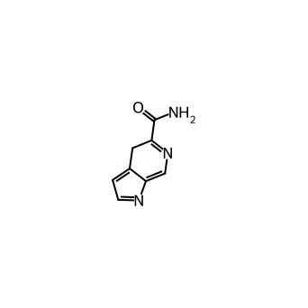 NC(=O)C1=NC=C2N=CC=C2C1